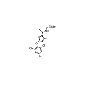 COCNC(=S)n1nc(Oc2c(Cl)cc(C(F)(F)F)cc2Cl)cc1C